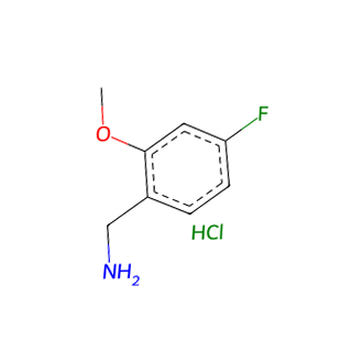 COc1cc(F)ccc1CN.Cl